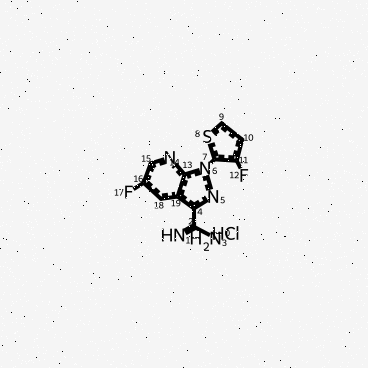 Cl.N=C(N)c1nn(-c2sccc2F)c2ncc(F)cc12